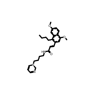 CCCCc1c(C=CC(=O)NCCCCN2C=CC=NC2)cc(OC)c2ccc(OC)cc12